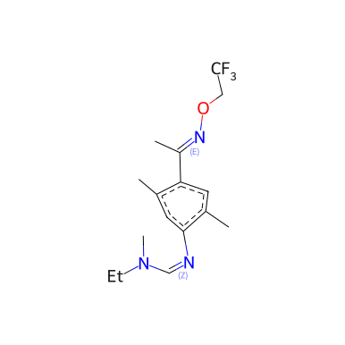 CCN(C)/C=N\c1cc(C)c(/C(C)=N/OCC(F)(F)F)cc1C